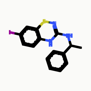 CC(NC1=NSc2cc(I)ccc2N1)c1ccccc1